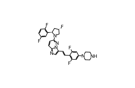 Fc1ccc(F)c([C@H]2C[C@H](F)CN2c2ccc3ncc(/C=C/c4c(F)cc(N5CCNCC5)cc4F)n3n2)c1